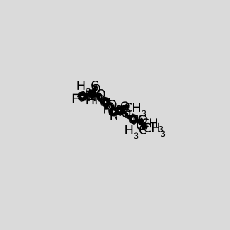 COc1cc2c(Oc3ccc(NC(=O)c4nn(-c5ccc(F)cc5)cc4OC)cc3F)ccnc2cc1OCC1CCN(C(=O)OC(C)(C)C)CC1